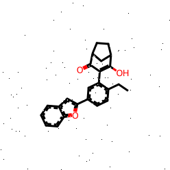 CCc1ccc(-c2cc3ccccc3o2)cc1C1=C(O)C2CCC(C2)C1=O